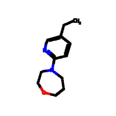 CCc1ccc(N2CCCOCC2)nc1